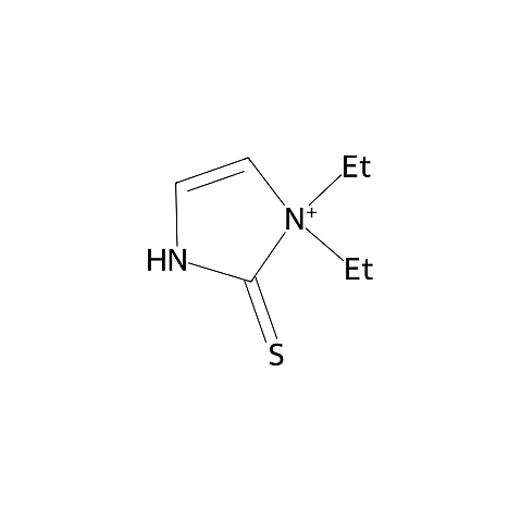 CC[N+]1(CC)C=CNC1=S